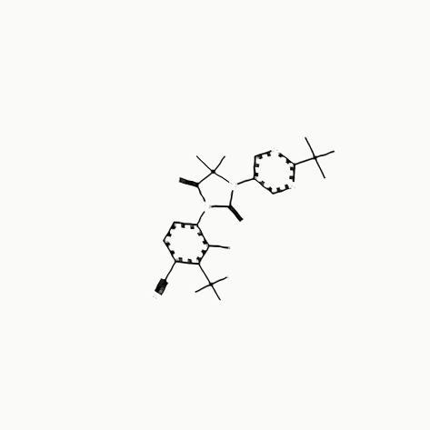 CC(C)(C)c1ncc(N2C(=S)N(c3ccc(C#N)c(C(F)(F)F)c3F)C(=O)C2(C)C)cn1